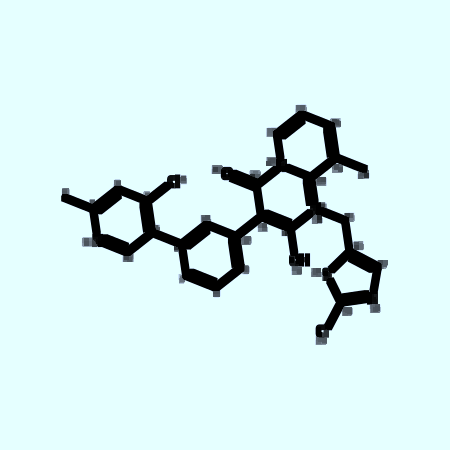 Cc1cc(Cl)c(-c2cccc(-c3c(O)[n+](Cc4cnc(Cl)s4)c4c(C)cccn4c3=O)c2)cn1